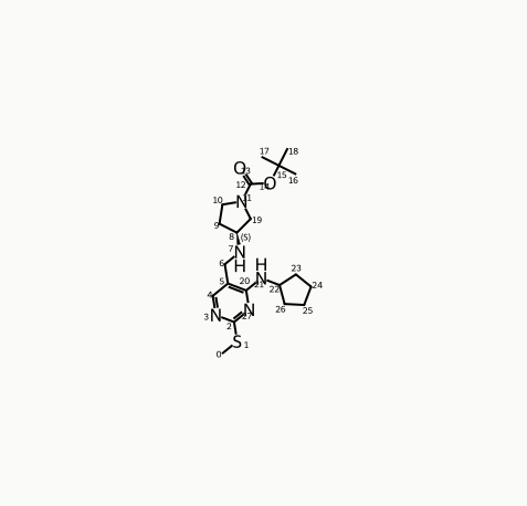 CSc1ncc(CN[C@H]2CCN(C(=O)OC(C)(C)C)C2)c(NC2CCCC2)n1